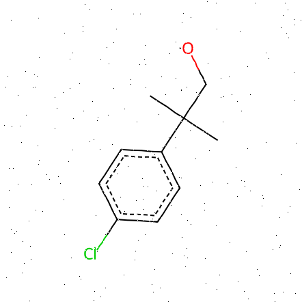 CC(C)(C[O])c1ccc(Cl)cc1